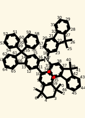 CC1(C)CCC(C)(C)c2cc(-c3cc4c(cc3N(c3ccc5c(c3)C(C)(C)c3ccccc3-5)c3ccc5c(c3)C(C)(C)c3ccccc3-5)C(c3ccccc3)(c3ccccc3)c3ccccc3-4)ccc21